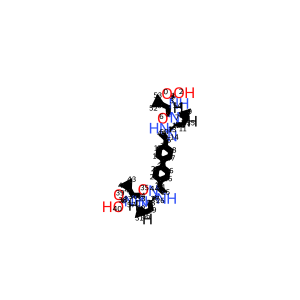 O=C(O)N[C@H](C(=O)N1[C@@H]2C[C@@H]2C[C@H]1c1nc(-c2ccc(-c3ccc(-c4c[nH]c([C@@H]5C[C@H]6C[C@H]6N5C(=O)[C@@H](NC(=O)O)C5CC5)n4)cc3)cc2)c[nH]1)C1CC1